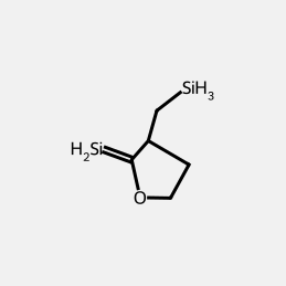 [SiH2]=C1OCCC1C[SiH3]